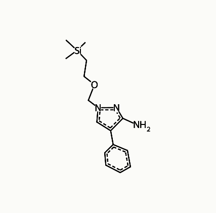 C[Si](C)(C)CCOCn1cc(-c2ccccc2)c(N)n1